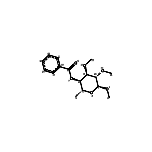 CO[C@H]1O[C@H](C)[C@@H](OC(=O)c2ccccc2)[C@@H](OC)[C@@H]1OC